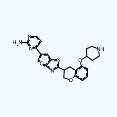 Nc1nccc(-c2ccc3nc(C4COc5cccc(OC6CCNCC6)c5C4)sc3c2)n1